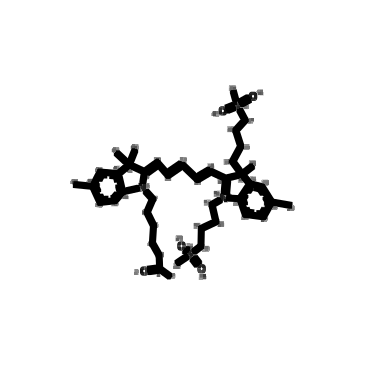 CC(=O)CCCCCN1\C(=C/C=C/C=C/C2=[N+](CCCCS(C)(=O)=O)c3ccc(C)cc3C2(C)CCCCS(C)(=O)=O)C(C)(C)c2cc(C)ccc21